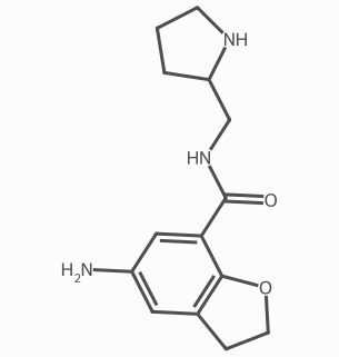 Nc1cc2c(c(C(=O)NCC3CCCN3)c1)OCC2